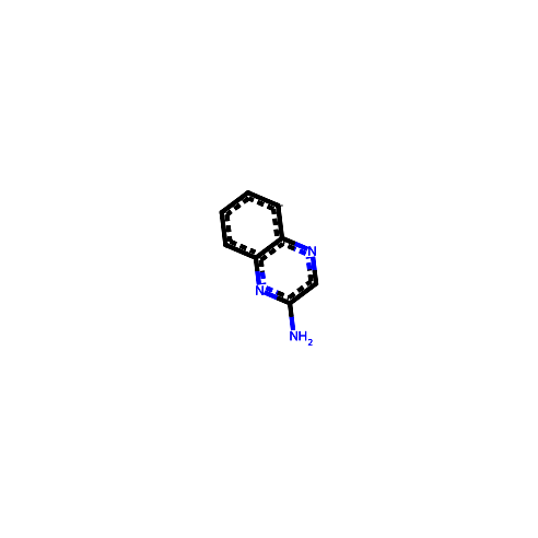 Nc1cnc2[c]cccc2n1